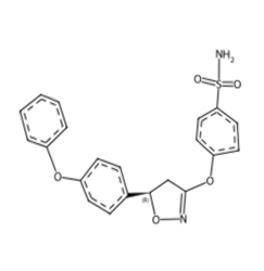 NS(=O)(=O)c1ccc(OC2=NO[C@@H](c3ccc(Oc4ccccc4)cc3)C2)cc1